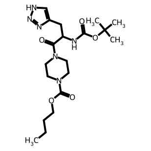 CCCCOC(=O)N1CCN(C(=O)C(Cc2c[nH]nn2)NC(=O)OC(C)(C)C)CC1